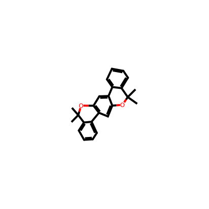 CC1(C)Oc2cc3c(cc2-c2ccccc21)OC(C)(C)c1ccccc1-3